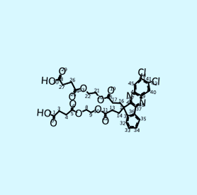 O=C(O)CCC(=O)OCCOC(=O)CCC1(CCC(=O)OCCOC(=O)CCC(=O)O)c2ccccc2-c2nc3cc(Cl)c(Cl)cc3nc21